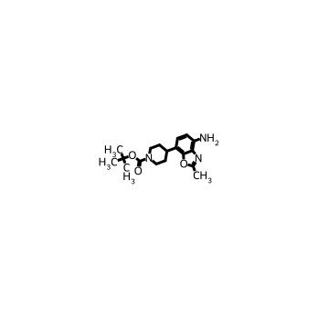 Cc1nc2c(N)ccc(C3CCN(C(=O)OC(C)(C)C)CC3)c2o1